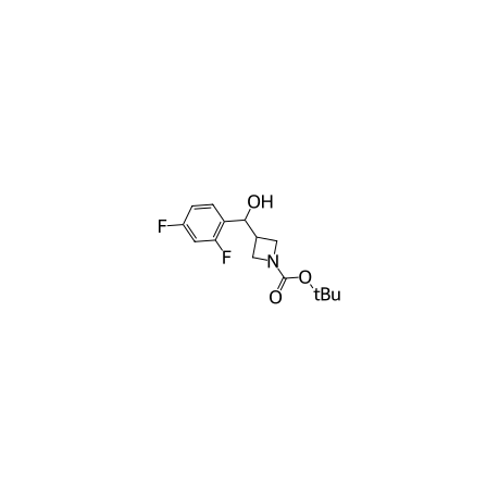 CC(C)(C)OC(=O)N1CC(C(O)c2ccc(F)cc2F)C1